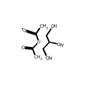 CC(=O)OC(C)=O.OCC(O)CO